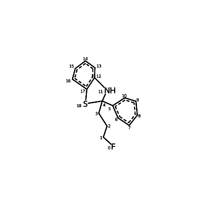 FCCCC1(c2ccccc2)Nc2ccccc2S1